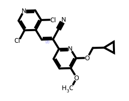 COc1ccc(/C(C#N)=C/c2c(Cl)cncc2Cl)nc1OCC1CC1